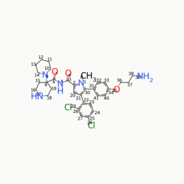 Cn1c(C(=O)NC(=O)C2(N3CCCCC3)CCNCC2)cc(-c2ccc(Cl)cc2Cl)c1-c1ccc(OCCCN)cc1